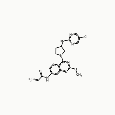 C=CC(=O)Nc1ccc2c(N3CCC(Nc4ncc(Cl)cn4)C3)nc(OC)nc2c1